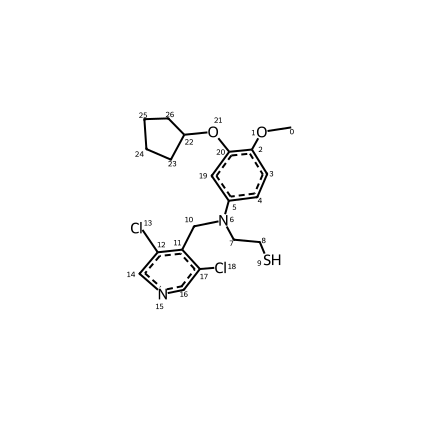 COc1ccc(N(CCS)Cc2c(Cl)cncc2Cl)cc1OC1CCCC1